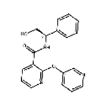 O=C(N[C@@H](CO)c1ccccc1)c1cccnc1Oc1cccnc1